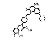 Cc1cc(=O)n(CCN2CCC(N(Cc3ccc(O)c(O)c3)C(=O)OC(C)(C)C)CC2)c2cc(C3CCCCC3)ccc12